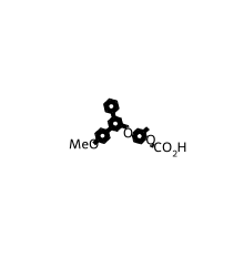 COc1ccc(-c2cc(COc3ccc(OCC(=O)O)c(C)c3)cc(-c3ccccc3)c2)cc1